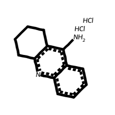 Cl.Cl.Nc1c2c(nc3ccccc13)CCCC2